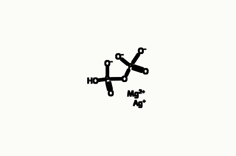 O=P([O-])([O-])OP(=O)([O-])O.[Ag+].[Mg+2]